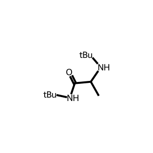 CC(NC(C)(C)C)C(=O)NC(C)(C)C